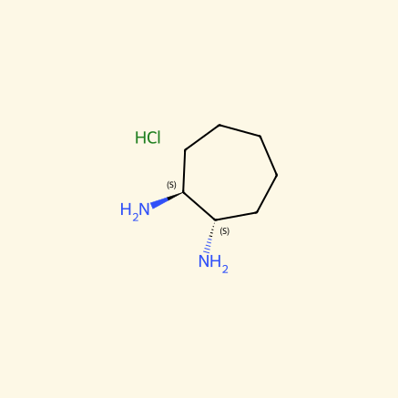 Cl.N[C@H]1CCCCC[C@@H]1N